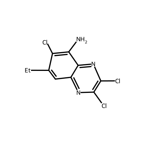 CCc1cc2nc(Cl)c(Cl)nc2c(N)c1Cl